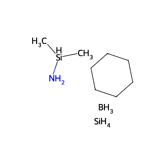 B.C1CCCCC1.C[SiH](C)N.[SiH4]